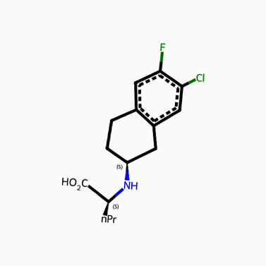 CCC[C@H](N[C@H]1CCc2cc(F)c(Cl)cc2C1)C(=O)O